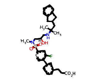 CN(C[C@H](O)CNC(C)(C)CC1Cc2ccccc2C1)S(=O)(=O)c1ccc(-c2cccc(CCC(=O)O)c2)c(F)c1